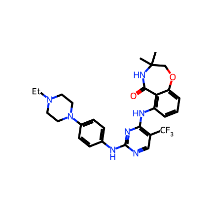 CCN1CCN(c2ccc(Nc3ncc(C(F)(F)F)c(Nc4cccc5c4C(=O)NC(C)(C)CO5)n3)cc2)CC1